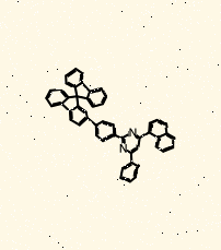 c1ccc(-c2cc(-c3cccc4ccccc34)nc(-c3ccc(-c4ccc5c(c4)C4(c6ccccc6-c6ccccc64)c4ccccc4-5)cc3)n2)cc1